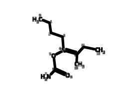 CCCC[N+](OC(N)=O)=C(C)CC